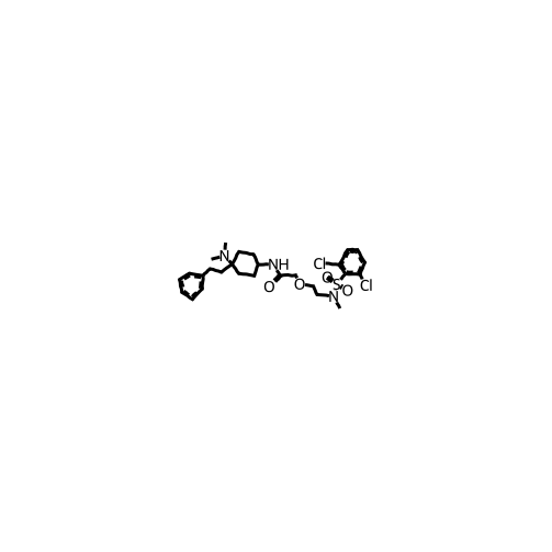 CN(C)C1(CCc2ccccc2)CCC(NC(=O)COCCN(C)S(=O)(=O)c2c(Cl)cccc2Cl)CC1